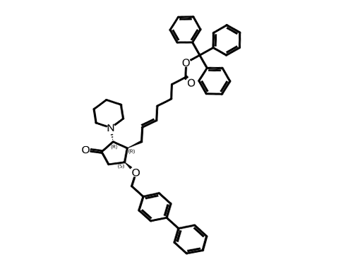 O=C(CCCC=CC[C@H]1[C@@H](OCc2ccc(-c3ccccc3)cc2)CC(=O)[C@@H]1N1CCCCC1)OC(c1ccccc1)(c1ccccc1)c1ccccc1